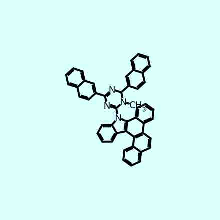 CN1C(n2c3ccccc3c3c4c5ccccc5ccc4c4ccccc4c32)=NC(c2ccc3ccccc3c2)=NC1c1ccc2ccccc2c1